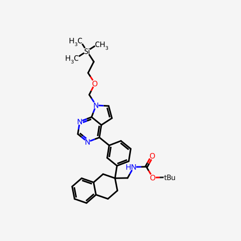 CC(C)(C)OC(=O)NCC1(c2cccc(-c3ncnc4c3ccn4COCC[Si](C)(C)C)c2)CCc2ccccc2C1